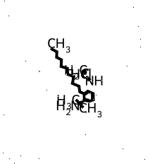 C=C=N.CCCCCCCCCCCCc1ccccc1C(C)(C)N.Cl